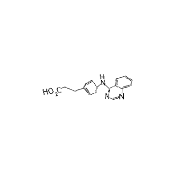 O=C(O)CCc1ccc(Nc2ncnc3ccccc23)cc1